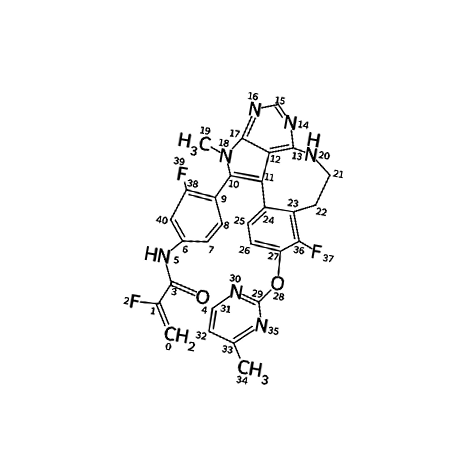 C=C(F)C(=O)Nc1ccc(-c2c3c4c(ncnc4n2C)NCCc2c-3ccc(Oc3nccc(C)n3)c2F)c(F)c1